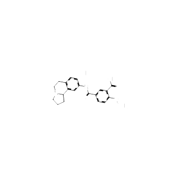 COc1ccc(C(=O)Nc2ccc3c(c2)C2CCCN2CC3)cc1C(C)=O.Cl